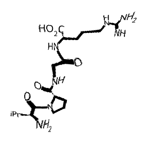 CC(C)[C@H](N)C(=O)N1CCC[C@H]1C(=O)NCC(=O)N[C@@H](CCCNC(=N)N)C(=O)O